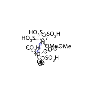 COCCOCCOCCOCCC1(C)\C(=C/C=C/C=C/C2=[N+](CCOC)c3ccc4c(S(=O)(=O)O)cc(S(=O)(=O)O)cc4c3C2(C)CCCS(=O)(=O)O)N(CCCCCC(=O)O)c2ccc3c(S(=O)(=O)[O-])cc(S(=O)(=O)O)cc3c21